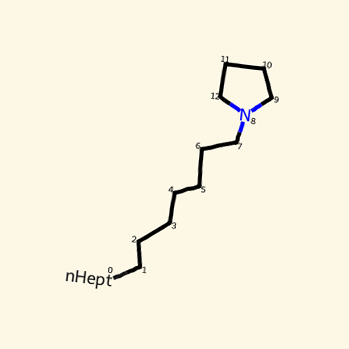 CCCCCCCCCCCCCCN1CCCC1